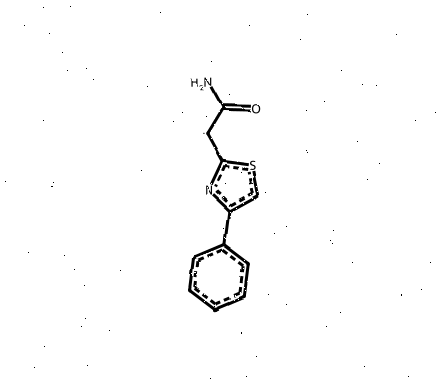 NC(=O)[CH]c1nc(-c2ccccc2)cs1